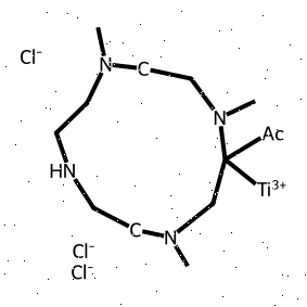 CC(=O)[C]1([Ti+3])CN(C)CCNCCN(C)CCN1C.[Cl-].[Cl-].[Cl-]